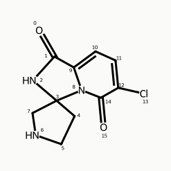 O=C1NC2(CCNC2)n2c1ccc(Cl)c2=O